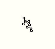 c1ccc(-c2cc(-c3ccccc3)nc(-c3cccc4c3sc3c4ccc4c3c3ccccc3n4-c3ccc4ccccc4c3)c2)cc1